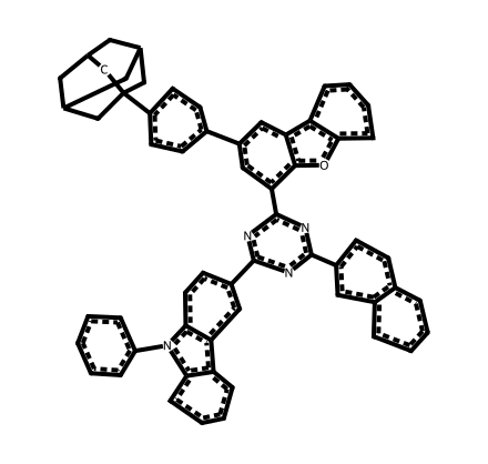 c1ccc(-n2c3ccccc3c3cc(-c4nc(-c5ccc6ccccc6c5)nc(-c5cc(-c6ccc(C78CC9CC(CC(C9)C7)C8)cc6)cc6c5oc5ccccc56)n4)ccc32)cc1